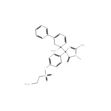 COCCS(=O)(=O)Oc1ccc(C2(C3(OC)C=CC=C(c4ccccc4)C3)N=C(N)N(C)C2=O)cc1